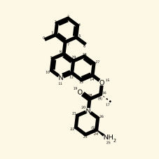 Cc1cccc(C)c1-c1ccnc2cc(O[C@H](C)C(=O)N3CCC[C@H](N)C3)ccc12